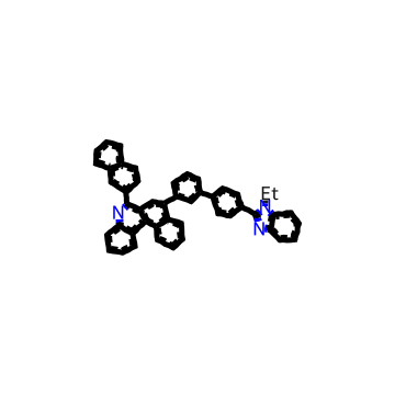 CCn1c(-c2ccc(-c3cccc(-c4cc5c(-c6ccc7ccccc7c6)nc6ccccc6c5c5ccccc45)c3)cc2)nc2ccccc21